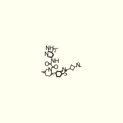 CCc1cc(NC(=O)C(=O)N2C[C@H](C)CC[C@@H]2c2ccc3sc(C4CC(N(C)C)C4)nc3c2)cnc1N